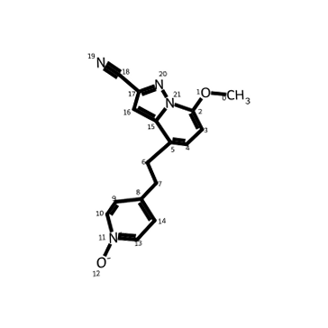 COc1ccc(CCc2cc[n+]([O-])cc2)c2cc(C#N)nn12